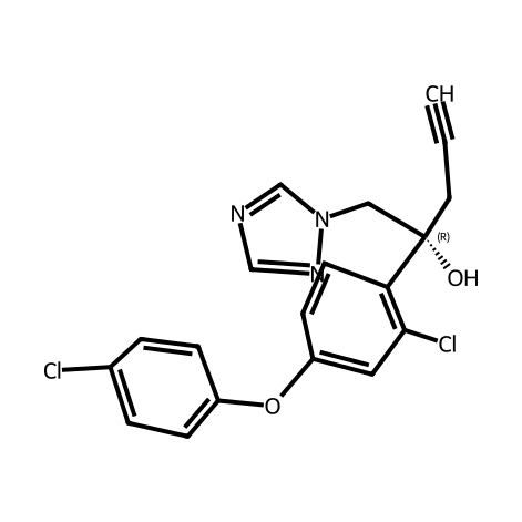 C#CC[C@](O)(Cn1cncn1)c1ccc(Oc2ccc(Cl)cc2)cc1Cl